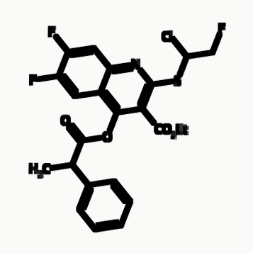 CCOC(=O)c1c(SC(Cl)CF)nc2cc(F)c(F)cc2c1OC(=O)C(C)c1ccccc1